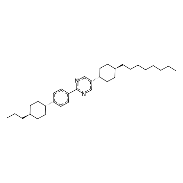 CCCCCCCC[C@H]1CC[C@H](c2cnc(-c3ccc([C@H]4CC[C@H](CCC)CC4)cc3)nc2)CC1